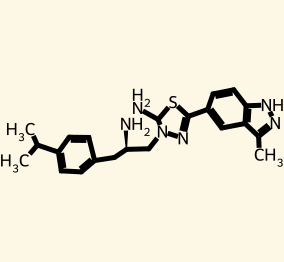 Cc1n[nH]c2ccc(C3=NN(C[C@H](N)Cc4ccc(C(C)C)cc4)C(N)S3)cc12